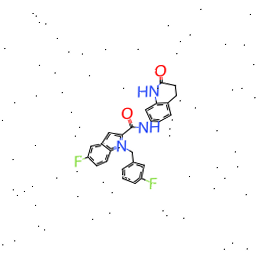 O=C1CCc2ccc(NC(=O)c3cc4cc(F)ccc4n3Cc3cccc(F)c3)cc2N1